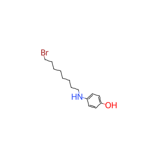 Oc1ccc(NCCCCCCCCBr)cc1